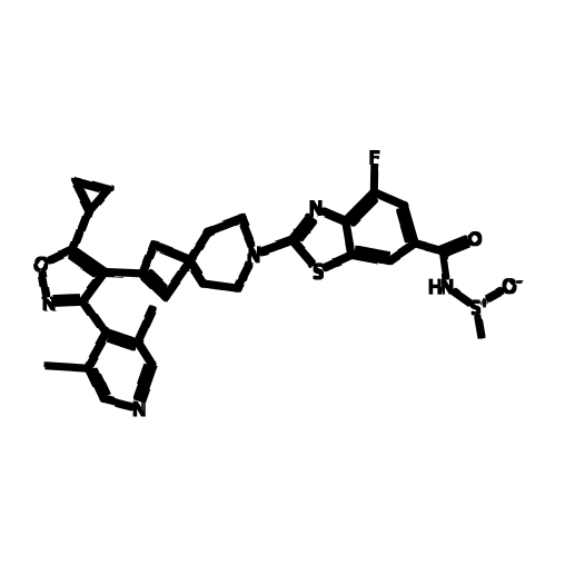 Cc1cncc(C)c1-c1noc(C2CC2)c1C1=CC2(CCN(c3nc4c(F)cc(C(=O)N[S+](C)[O-])cc4s3)CC2)C1